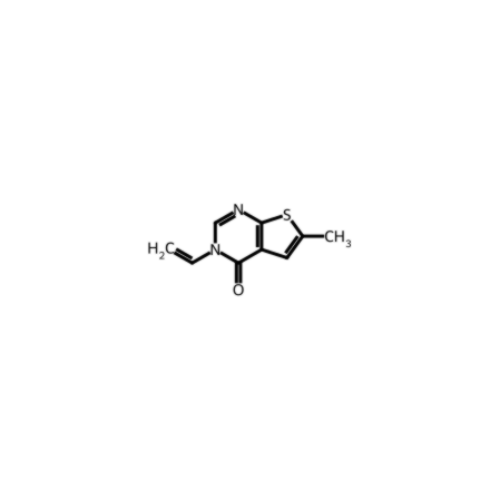 C=Cn1cnc2sc(C)cc2c1=O